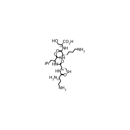 CC(C)C[C@H](NC(=O)[C@H](CS)NC(=O)[C@@H](N)CCN)C(=O)N[C@@H](CCCCN)C(=O)N[C@@H](CO)C(=O)O